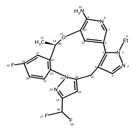 CCn1ncc2c1-c1cnc(N)c(c1)O[C@H](C)c1cc(F)ccc1-n1nc(C(F)F)cc1C2